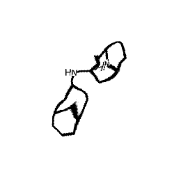 C1CC2CC(C1)CC(NC1CC3CCC(C1)N3)C2